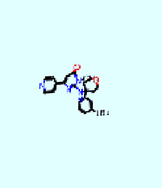 Cn1c(NC2(c3cccc(C(C)(C)C)c3)CCOCC2)nc(-c2ccncc2)cc1=O